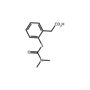 CN(C)C(=O)Sc1ccccc1CC(=O)O